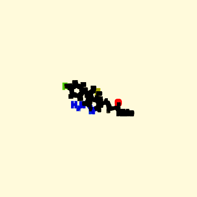 CNC(=O)/C=C/c1cnc(N)c2c(-c3ccc(F)cc3)csc12